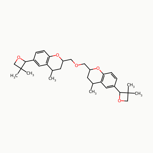 CC1CC(COCC2CC(C)c3cc(C4OCC4(C)C)ccc3O2)Oc2ccc(C3OCC3(C)C)cc21